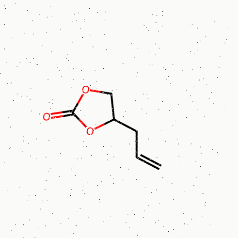 C=CCC1COC(=O)O1